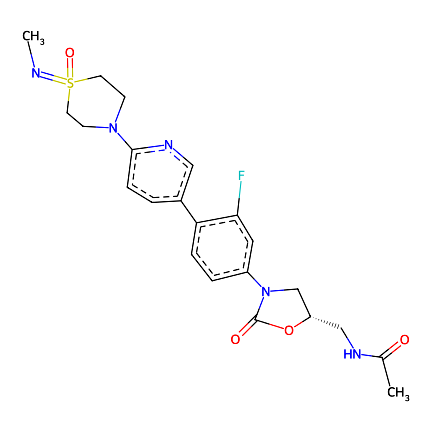 CN=S1(=O)CCN(c2ccc(-c3ccc(N4C[C@H](CNC(C)=O)OC4=O)cc3F)cn2)CC1